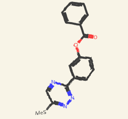 CSc1cnc(-c2cccc(OC(=O)c3ccccc3)c2)nn1